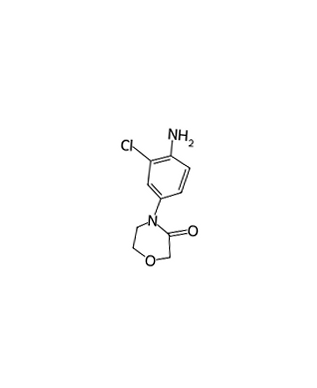 Nc1ccc(N2CCOCC2=O)cc1Cl